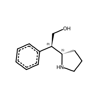 OC[C@H](c1ccccc1)[C@@H]1CCCN1